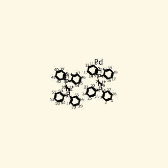 [Pd].c1ccc([PH+](CC[PH+](c2ccccc2)c2ccccc2)c2ccccc2)cc1.c1ccc([PH+](CC[PH+](c2ccccc2)c2ccccc2)c2ccccc2)cc1